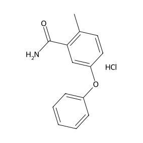 Cc1ccc(Oc2ccccc2)cc1C(N)=O.Cl